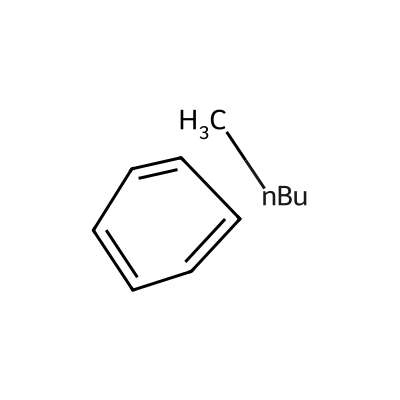 CCCCC.c1ccccc1